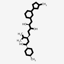 CC1CCC(C2CCCC(C[C@H](O)C(O)CC[C@@H](CC(O)[C@H]3CC[C@@H](C)CC3)C(C)C)C2)C1